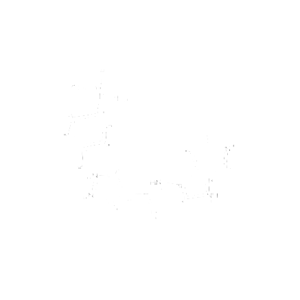 O=C(Nc1c[nH]c2cnccc12)c1cnn(Cc2ccc(C(F)(F)F)cc2)c1